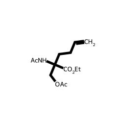 C=CCCC(COC(C)=O)(NC(C)=O)C(=O)OCC